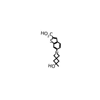 CC1(O)CC2(CN(c3ccc4cc(C(=O)O)sc4c3)C2)C1